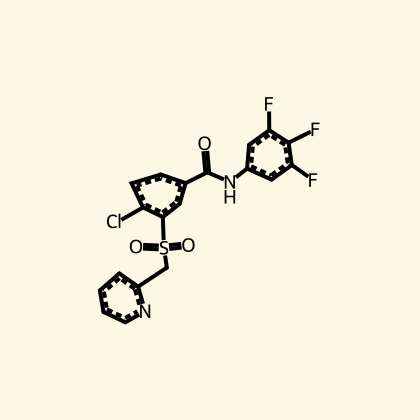 O=C(Nc1cc(F)c(F)c(F)c1)c1ccc(Cl)c(S(=O)(=O)Cc2ccccn2)c1